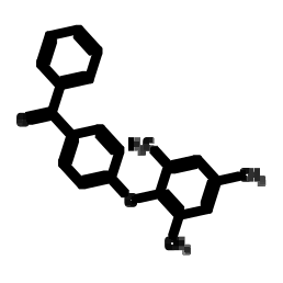 Cc1cc(C)c(Oc2ccc(C(=O)c3ccccc3)cc2)c(C)c1